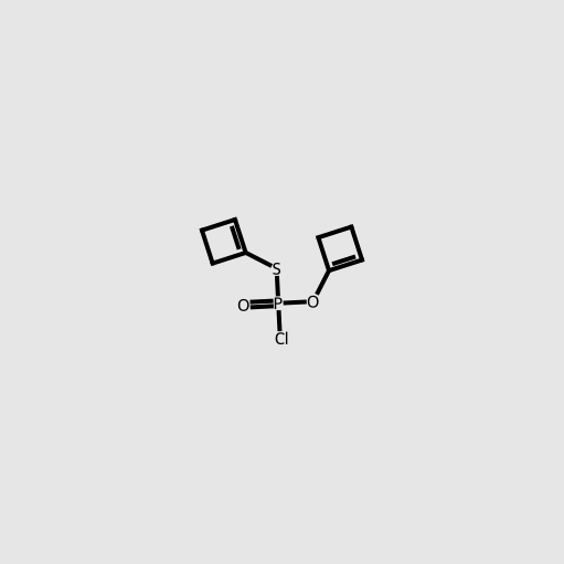 O=P(Cl)(OC1=CCC1)SC1=CCC1